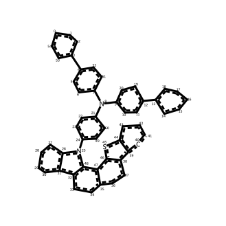 c1ccc(-c2ccc(N(c3ccc(-c4ccccc4)cc3)c3ccc(-n4c5ccccc5c5ccc6ccc7c8ccccc8sc7c6c54)cc3)cc2)cc1